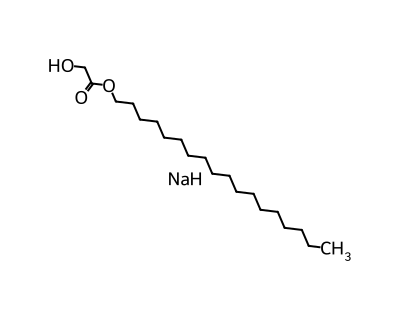 CCCCCCCCCCCCCCCCCCOC(=O)CO.[NaH]